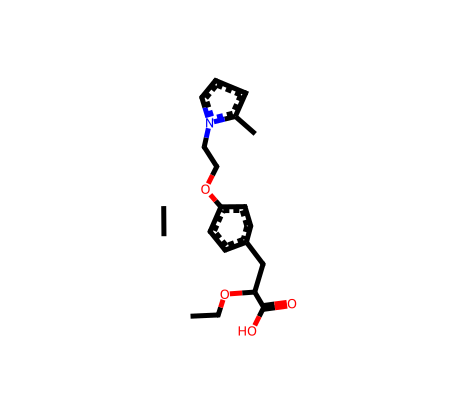 CC.CCOC(Cc1ccc(OCCn2cccc2C)cc1)C(=O)O